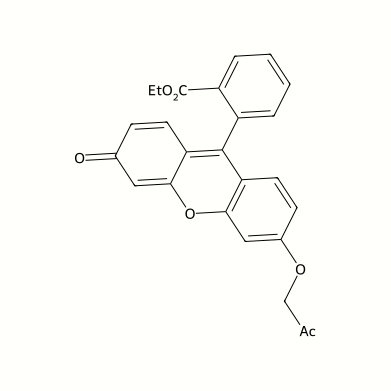 CCOC(=O)c1ccccc1-c1c2ccc(=O)cc-2oc2cc(OCC(C)=O)ccc12